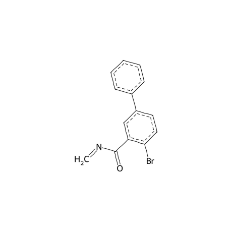 C=NC(=O)c1cc(-c2ccccc2)ccc1Br